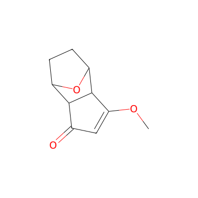 COC1=CC(=O)C2C3CCC(O3)C12